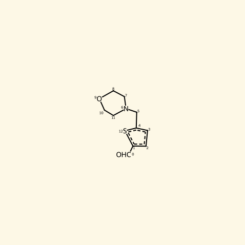 O=Cc1ccc(CN2CCOCC2)s1